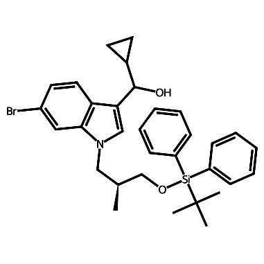 C[C@H](CO[Si](c1ccccc1)(c1ccccc1)C(C)(C)C)Cn1cc(C(O)C2CC2)c2ccc(Br)cc21